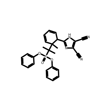 CC1(C(C)(C)P(=O)(Oc2ccccc2)Oc2ccccc2)C=CC=CC1c1nc(C#N)c(C#N)[nH]1